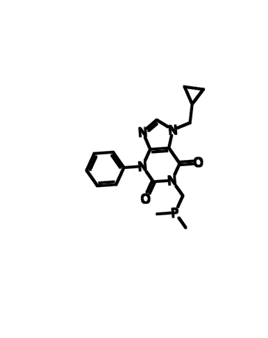 CP(C)Cn1c(=O)c2c(ncn2CC2CC2)n(-c2ccccc2)c1=O